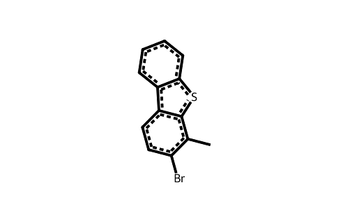 Cc1c(Br)ccc2c1sc1ccccc12